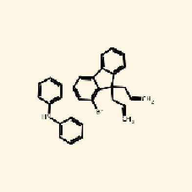 C=CCC1(CC=C)c2ccccc2-c2cccc(Br)c21.c1ccc(Nc2ccccc2)cc1